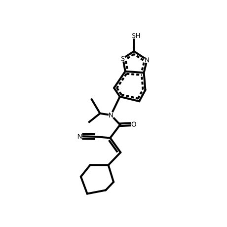 CC(C)N(C(=O)C(C#N)=CC1CCCCC1)c1ccc2nc(S)sc2c1